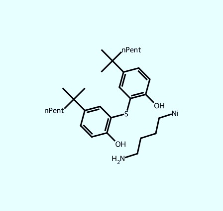 CCCCCC(C)(C)c1ccc(O)c(Sc2cc(C(C)(C)CCCCC)ccc2O)c1.NCCC[CH2][Ni]